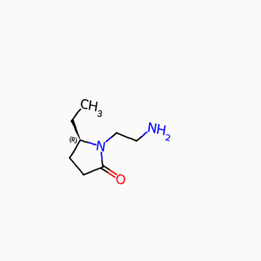 CC[C@@H]1CCC(=O)N1CCN